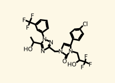 CC(O)c1nc(Cn2cc(-c3ccc(Cl)cc3)n(CC(O)C(F)(F)F)c2=O)nn1-c1cccc(C(F)(F)F)c1